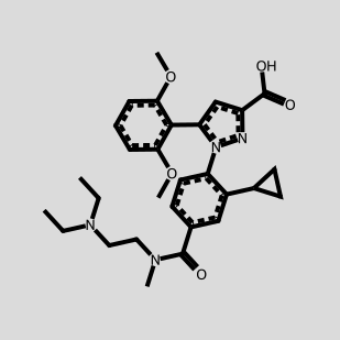 CCN(CC)CCN(C)C(=O)c1ccc(-n2nc(C(=O)O)cc2-c2c(OC)cccc2OC)c(C2CC2)c1